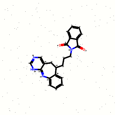 O=C1c2ccccc2C(=O)N1CCCC1CC2=CN=CNC2=Nc2ccccc21